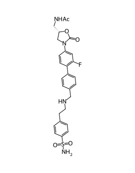 CC(=O)NC[C@H]1CN(c2ccc(-c3ccc(CNCCc4ccc(S(N)(=O)=O)cc4)cc3)c(F)c2)C(=O)O1